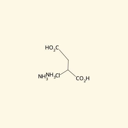 N.N.O=C(O)CC(Cl)C(=O)O